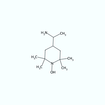 CC(N)C1CC(C)(C)N(O)C(C)(C)C1